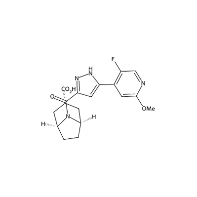 COc1cc(-c2cc(C(=O)N3[C@@H]4CC[C@H]3C[C@H](C(=O)O)C4)n[nH]2)c(F)cn1